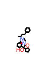 CC(CCc1ccccc1)N1CCN(C(=O)C(O)(c2ccccc2)C2CCCC2)CC1